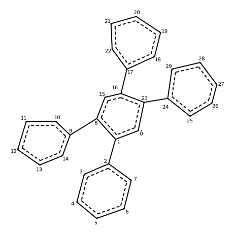 [c]1c(-c2ccccc2)c(-c2ccccc2)cc(-c2ccccc2)c1-c1ccccc1